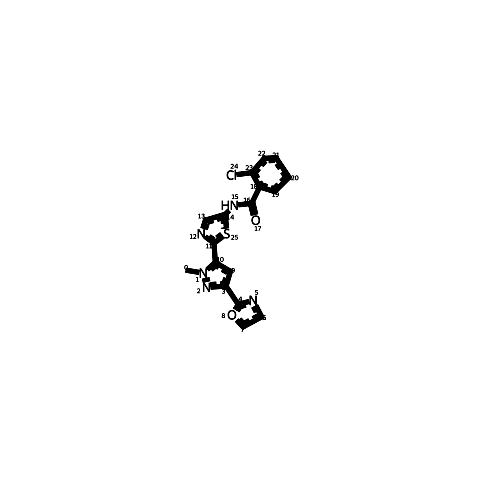 Cn1nc(-c2ncco2)cc1-c1ncc(NC(=O)c2ccccc2Cl)s1